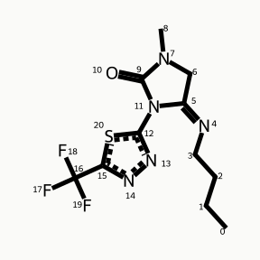 CCCCN=C1CN(C)C(=O)N1c1nnc(C(F)(F)F)s1